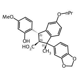 CCCOc1ccc2c(c1)[C@@H](c1ccc(OC)cc1O)[C@H](C(=O)O)[C@@]2(C)c1ccc2c(c1)OCO2